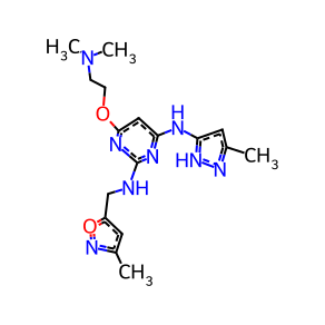 Cc1cc(Nc2cc(OCCN(C)C)nc(NCc3cc(C)no3)n2)[nH]n1